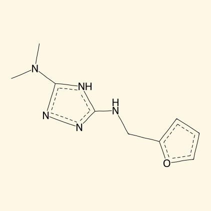 CN(C)c1nnc(NCc2ccco2)[nH]1